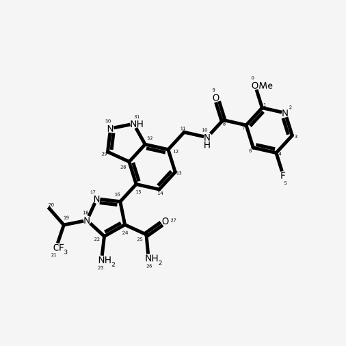 COc1ncc(F)cc1C(=O)NCc1ccc(-c2nn(C(C)C(F)(F)F)c(N)c2C(N)=O)c2cn[nH]c12